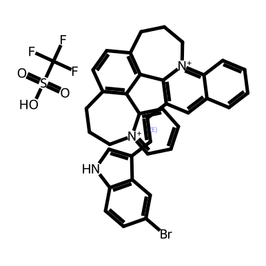 Brc1ccc2[nH]cc(/C=C/c3cc4ccccc4[n+]4c3-c3c(ccc5c3-c3cccc[n+]3CCC5)CCC4)c2c1.O=S(=O)(O)C(F)(F)F